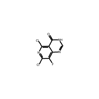 O=c1[nH]cnc2c(F)c(Cl)nc(Cl)c12